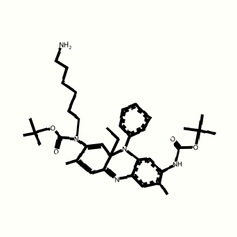 CCC12C=C(N(CCCCCCN)C(=O)OC(C)(C)C)C(C)=CC1=Nc1cc(C)c(NC(=O)OC(C)(C)C)cc1N2c1ccccc1